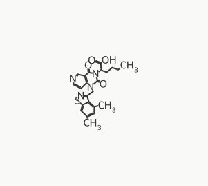 CCCCC(C(=O)O)n1c(=O)c2cnccc2n(Cc2nsc3cc(C)cc(C)c23)c1=O